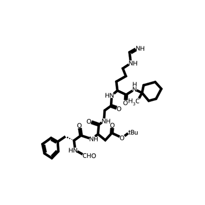 CC1(NC(=O)C(CCCNC=N)NC(=O)CNC(=O)C(CC(=O)OC(C)(C)C)NC(=O)[C@@H](Cc2ccccc2)NC=O)CCCCC1